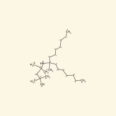 CCCCCCCC(C)(CCCCCCC)NC(C)(C)CC(C)(C)O